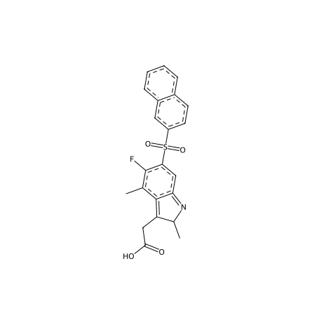 Cc1c(F)c(S(=O)(=O)c2ccc3ccccc3c2)cc2c1=C(CC(=O)O)C(C)N=2